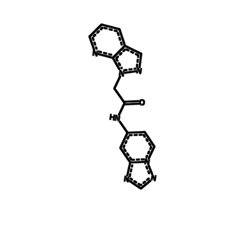 O=C(Cn1ncc2cccnc21)Nc1ccn2ncnc2c1